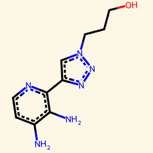 Nc1ccnc(-c2cn(CCCO)nn2)c1N